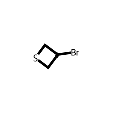 BrC1CSC1